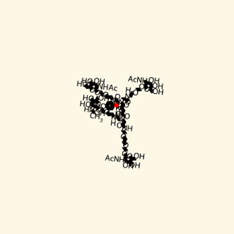 COc1ccc(C(=O)NC(CCC(=O)N(CC(=O)NCCOCCOCCOC2OC(CO)C(O)C(O)C2NC(C)=O)CC(=O)NCCOCCOC2OC(CO)C(O)C(O)C2NC(C)O)C(=O)N(CC(=O)NCCOCCOC2OC(CO)C(O)C(O)C2NC(C)=O)CC(=O)NCCOCCOC2OC(CO)C(O)C(O)C2NC(C)=O)cc1